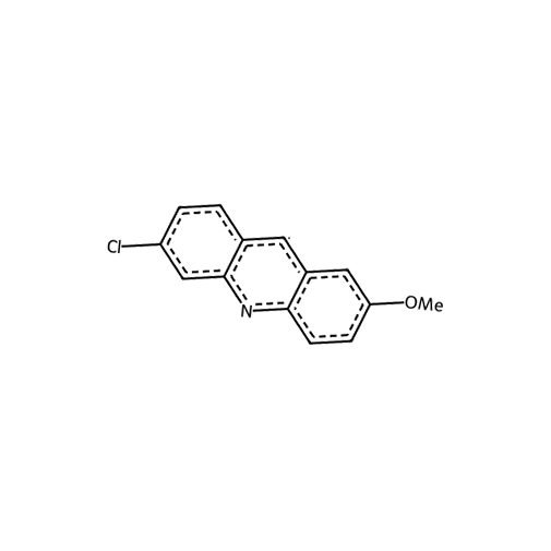 COc1ccc2nc3cc(Cl)ccc3[c]c2c1